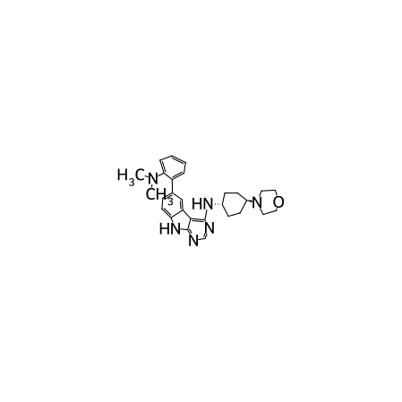 CN(C)c1ccccc1-c1ccc2[nH]c3ncnc(N[C@H]4CC[C@H](N5CCOCC5)CC4)c3c2c1